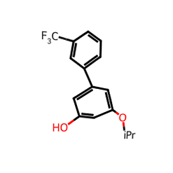 CC(C)Oc1cc(O)cc(-c2cccc(C(F)(F)F)c2)c1